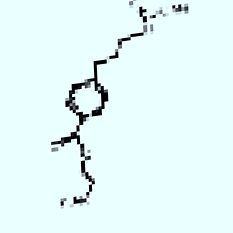 CCCCCCCCCCCCOC(=O)c1ccc(CCCC[PH](=O)OC)cc1